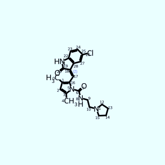 Cc1cc(C)n(C(=O)NCCN2CCCC2)c1/C=C1\C(=O)Nc2ccc(Cl)cc21